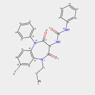 CC(C)CCN1C(=O)C(NC(=O)Nc2ccccc2)C(=O)N(c2ccccc2)c2ccc(F)cc21